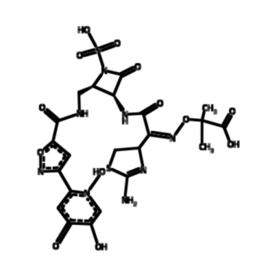 CC(C)(O/N=C(\C(=O)N[C@@H]1C(=O)N(S(=O)(=O)O)[C@@H]1CNC(=O)c1cc(-c2cc(=O)c(O)cn2O)no1)C1CSC(N)=N1)C(=O)O